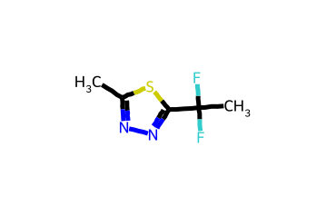 Cc1nnc(C(C)(F)F)s1